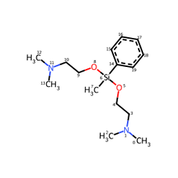 CN(C)CCO[Si](C)(OCCN(C)C)c1ccccc1